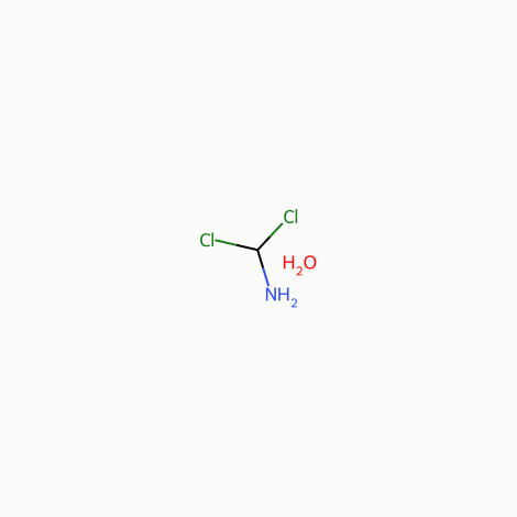 NC(Cl)Cl.O